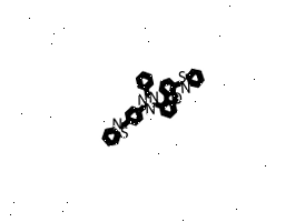 c1ccc(-c2nc(-c3ccc(-c4nc5ccccc5s4)cc3)nc(-c3cccc4oc5c(-c6nc7ccccc7s6)cccc5c34)n2)cc1